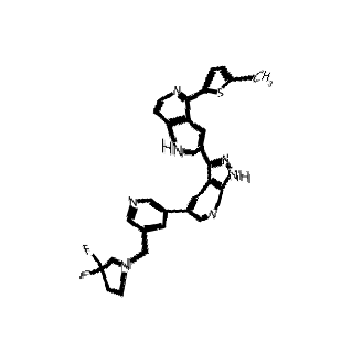 Cc1ccc(-c2nccc3[nH]c(-c4n[nH]c5ncc(-c6cncc(CN7CCC(F)(F)C7)c6)cc45)cc23)s1